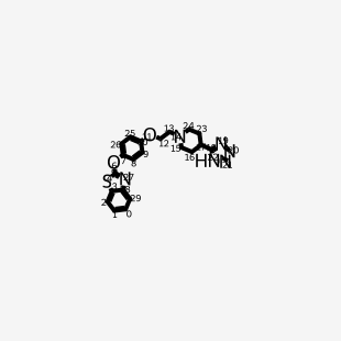 c1ccc2sc(Oc3ccc(OCCN4CCC(c5nnn[nH]5)CC4)cc3)nc2c1